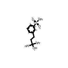 CCCC(O)(CCC)CCc1cccc(S(=O)(=O)CCC)c1